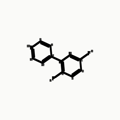 Fc1ccc(F)c(-c2c[c]ncc2)c1